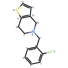 Fc1ccccc1CN1CCc2sccc2C1